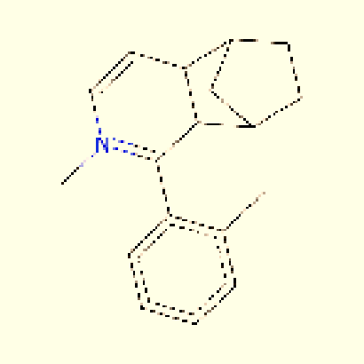 Cc1ccccc1C1=[N+](C)C=CC2C3CCC(C3)C12